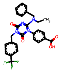 CCN(Cc1ccccc1)c1nc(=O)n(Cc2ccc(C(F)(F)F)cc2)c(=O)n1-c1ccc(C(=O)O)cc1